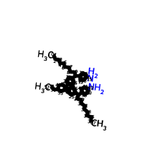 CCCCCCCCCCC(c1ccc(N)cc1)c1ccc(C2(c3ccc(C(CCCCCCCCCC)c4ccc(N)cc4)cc3)CCC(CCC)CC2)cc1